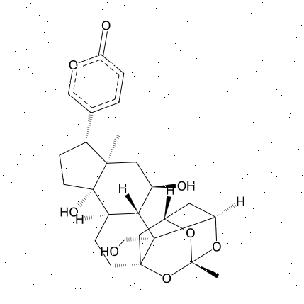 C[C@@]12O[C@H]3C[C@@H](O1)[C@]1(CO)[C@H]4[C@H](O)C[C@]5(C)[C@@H](c6ccc(=O)oc6)CC[C@]5(O)[C@@H]4CC[C@@]1(C3)O2